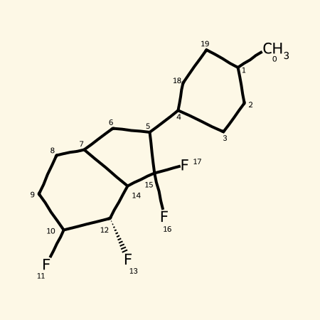 CC1CCC(C2CC3CCC(F)[C@@H](F)C3C2(F)F)CC1